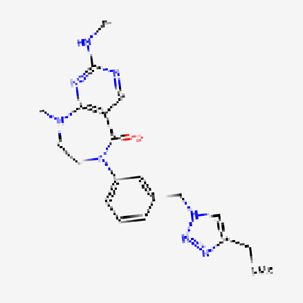 CCNc1ncc2c(n1)N(C)CCN(c1cccc(Cn3cc(CNC)nn3)c1)C2=O